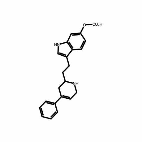 O=C(O)Oc1ccc2c(CCC3CC(c4ccccc4)=CCN3)c[nH]c2c1